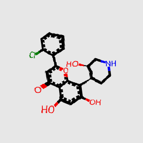 O=c1cc(-c2ccccc2Cl)oc2c([C@@H]3CCNC[C@@H]3O)c(O)cc(O)c12